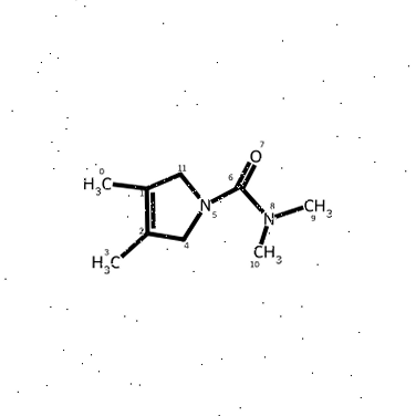 CC1=C(C)CN(C(=O)N(C)C)C1